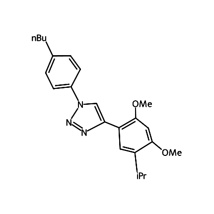 CCCCc1ccc(-n2cc(-c3cc(C(C)C)c(OC)cc3OC)nn2)cc1